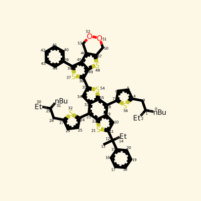 CCCCC(CC)Cc1ccc(-c2c3cc(C(C)(CC)c4ccccc4)sc3c(-c3ccc(CC(CC)CCCC)s3)c3cc(-c4sc(-c5ccccc5)c5c6c(sc45)COOC6)sc23)s1